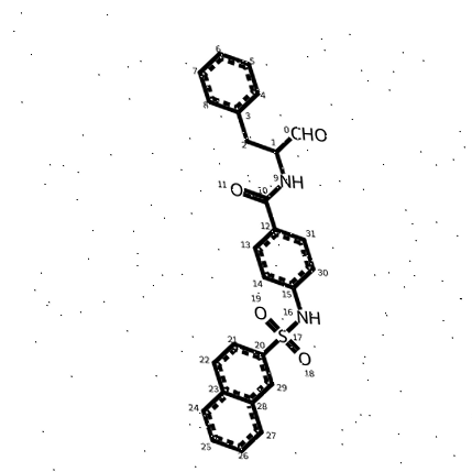 O=CC(Cc1ccccc1)NC(=O)c1ccc(NS(=O)(=O)c2ccc3ccccc3c2)cc1